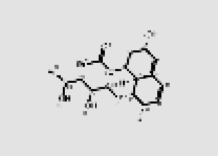 CCC(C)C(=O)O[C@H]1C[C@H](O)C=C2C=C[C@H](C)[C@H](CC[C@@H](O)C[C@@H](O)C(C)=O)[C@H]21